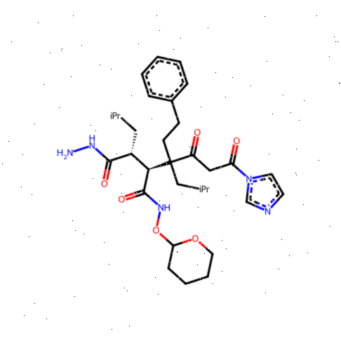 CC(C)C[C@@H](C(=O)NN)[C@H](C(=O)NOC1CCCCO1)C(CCc1ccccc1)(CC(C)C)C(=O)CC(=O)n1ccnc1